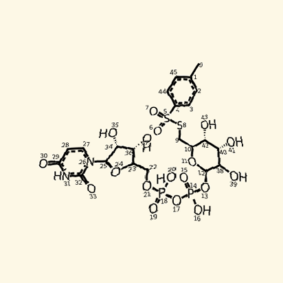 Cc1ccc(S(=O)(=O)SCC2O[C@H](OP(=O)(O)OP(=O)(O)OCC3OC(n4ccc(=O)[nH]c4=O)[C@H](O)[C@@H]3O)C(O)[C@@H](O)[C@H]2O)cc1